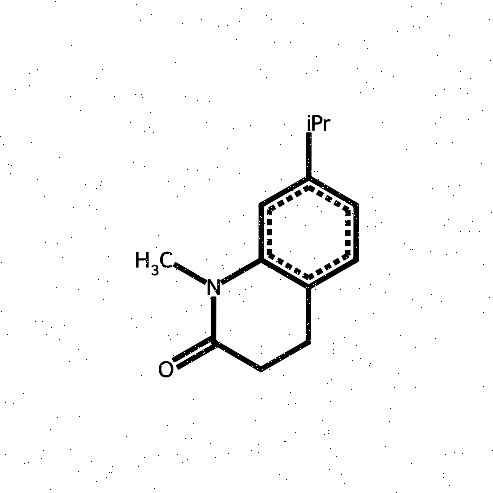 CC(C)c1ccc2c(c1)N(C)C(=O)CC2